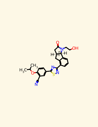 CC(C)Oc1ccc(-c2nc(-c3cccc4c3C[C@H]3CC(=O)N(CCO)[C@@H]43)ns2)cc1C#N